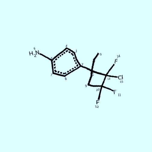 CC1(c2ccc(N)cc2)CC(F)(F)C1(F)Cl